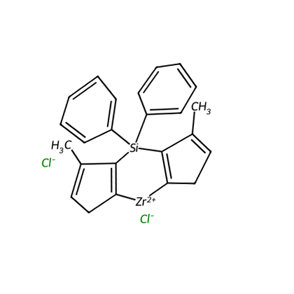 CC1=CC[C]2=C1[Si](c1ccccc1)(c1ccccc1)C1=[C](CC=C1C)[Zr+2]2.[Cl-].[Cl-]